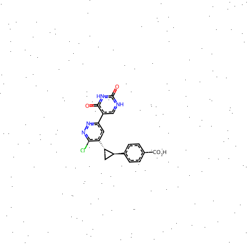 O=C(O)c1ccc([C@H]2C[C@@H]2c2cc(-c3c[nH]c(=O)[nH]c3=O)nnc2Cl)cc1